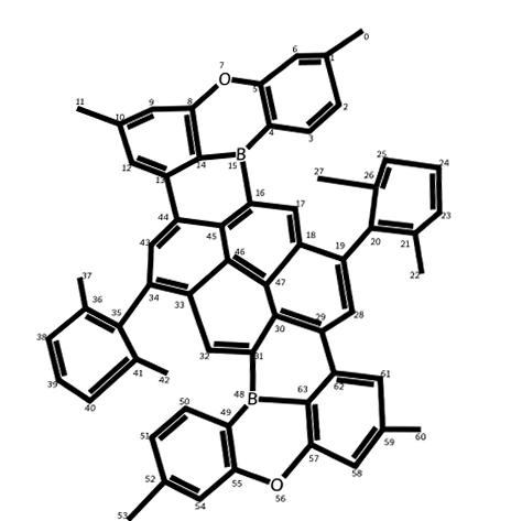 Cc1ccc2c(c1)Oc1cc(C)cc3c1B2c1cc2c(-c4c(C)cccc4C)cc4c5c(cc6c(-c7c(C)cccc7C)cc-3c1c6c25)B1c2ccc(C)cc2Oc2cc(C)cc-4c21